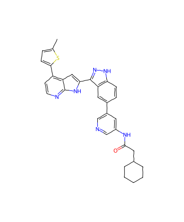 Cc1ccc(-c2ccnc3[nH]c(-c4n[nH]c5ccc(-c6cncc(NC(=O)CC7CCCCC7)c6)cc45)cc23)s1